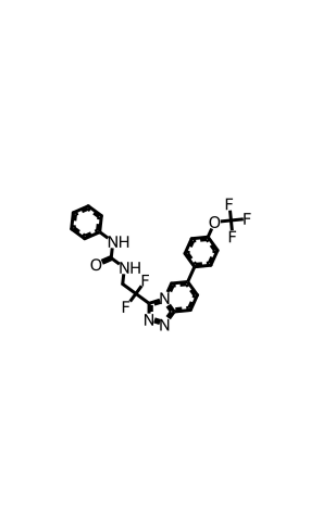 O=C(NCC(F)(F)c1nnc2ccc(-c3ccc(OC(F)(F)F)cc3)cn12)Nc1ccccc1